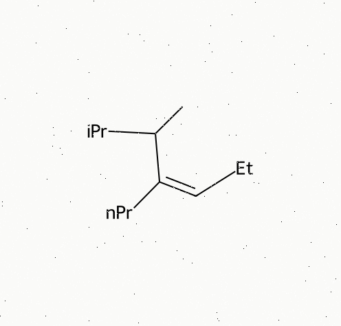 [CH2]CC=C(CCC)C(C)C(C)C